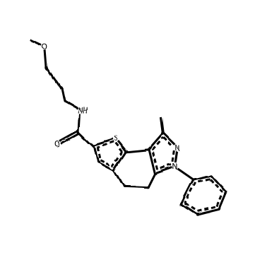 COCCCNC(=O)c1cc2c(s1)-c1c(C)nn(-c3ccccc3)c1CC2